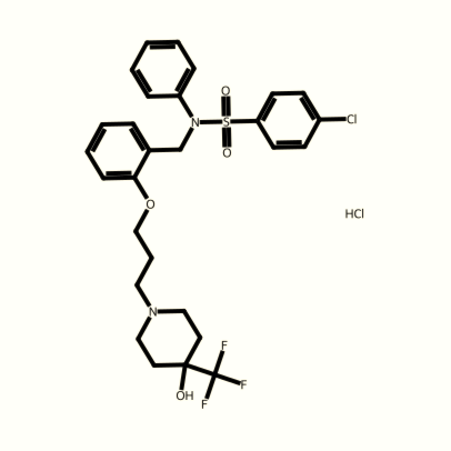 Cl.O=S(=O)(c1ccc(Cl)cc1)N(Cc1ccccc1OCCCN1CCC(O)(C(F)(F)F)CC1)c1ccccc1